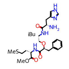 CC[C@H](C)[C@@H](CO[C@@H](Cc1ccccc1)C(=O)N[C@@H](CCSC)C(=O)OC)NC(=O)[C@@H](N)Cc1c[nH]cn1